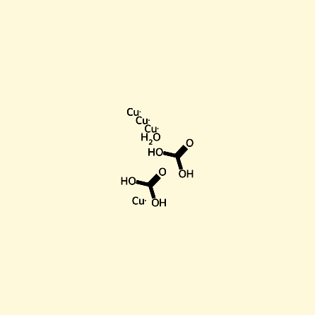 O.O=C(O)O.O=C(O)O.[Cu].[Cu].[Cu].[Cu]